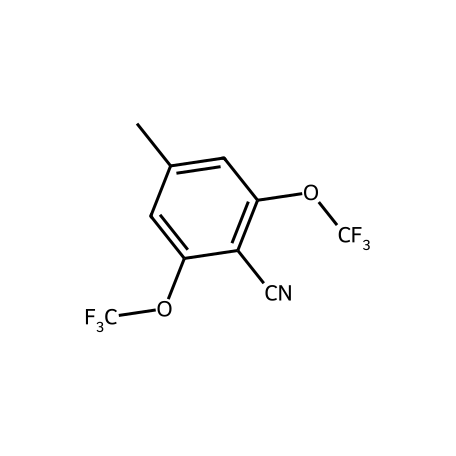 Cc1cc(OC(F)(F)F)c(C#N)c(OC(F)(F)F)c1